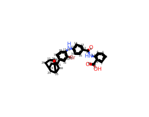 O=C(Nc1ccccc1C(=O)O)c1ccc(Nc2ccc(C34CC5CC(CC(C5)C3)C4)cc2Br)cc1